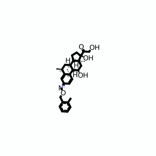 Cc1ccccc1CO/N=C1\C=C[C@@]2(C)C(=C1)[C@@H](C)C[C@@H]1[C@@H]2[C@@H](O)C[C@@]2(C)[C@H]1CC[C@]2(O)C(=O)CO